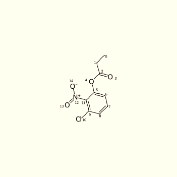 CCC(=O)Oc1cccc(Cl)c1[N+](=O)[O-]